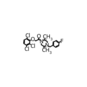 C[C@@H]1CN(Cc2ccc(F)cc2)[C@@H](C)CN1C(=O)COc1c(Cl)ccc(Cl)c1Cl